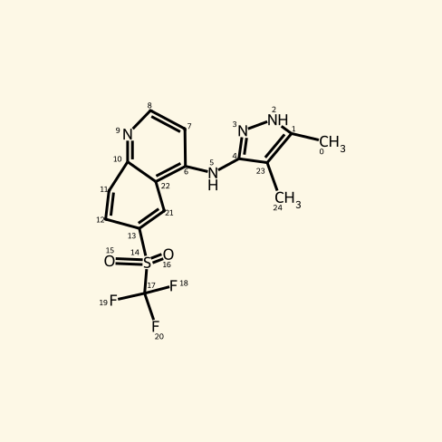 Cc1[nH]nc(Nc2ccnc3ccc(S(=O)(=O)C(F)(F)F)cc23)c1C